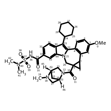 COc1ccc2c(c1)C1CC1(C(=O)N1C[C@@H]3C[C@H]1CN3C)Cn1c-2c(C2CCCCC2)c2ccc(C(=O)NS(=O)(=O)N(C)C)cc21